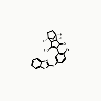 CCc1ccc(Oc2nc3ccccc3s2)cc1C1=C(O)C2[C@H]3CC[C@H](C3)[C@H]2C1=O